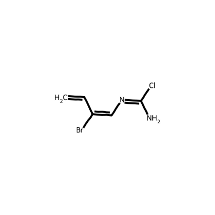 C=C/C(Br)=C\N=C(/N)Cl